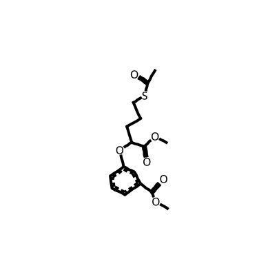 COC(=O)c1cccc(OC(CCCSC(C)=O)C(=O)OC)c1